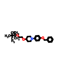 CC(C)(C)[Si](C)(C)OCCOC1CCN(c2ccc(OCc3ccccc3)cc2)CC1